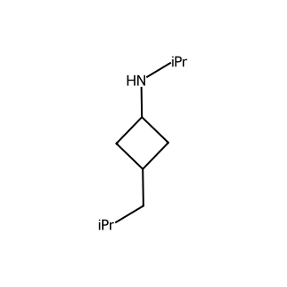 CC(C)CC1CC(NC(C)C)C1